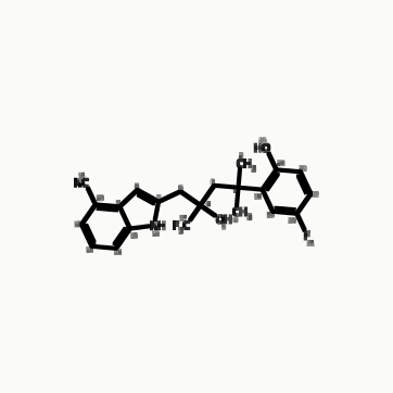 CC(C)(CC(O)(Cc1cc2c(C#N)cccc2[nH]1)C(F)(F)F)c1cc(F)ccc1O